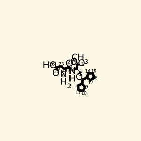 COC(=O)[C@H](COC(C1CCCC1)C1CCCC1)NC(=O)[C@@H](N)CC(=O)O